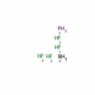 B.F.F.F.F.P